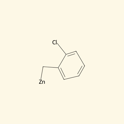 Clc1ccccc1[CH2][Zn]